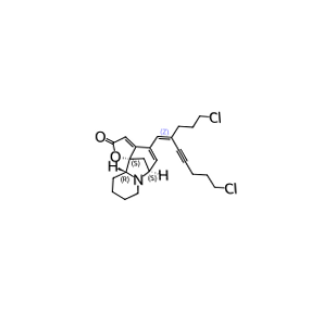 O=C1C=C2C(/C=C(\C#CCCCCl)CCCCl)=C[C@@H]3C[C@@]2(O1)[C@H]1CCCCN31